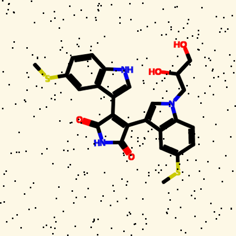 CSc1ccc2[nH]cc(C3=C(c4cn(CC(O)CO)c5ccc(SC)cc45)C(=O)NC3=O)c2c1